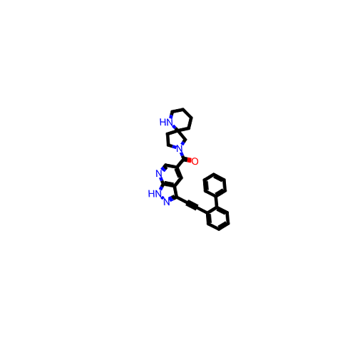 O=C(c1cnc2[nH]nc(C#Cc3ccccc3-c3ccccc3)c2c1)N1CCC2(CCCCN2)C1